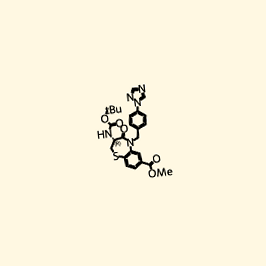 COC(=O)c1ccc2c(c1)N(Cc1ccc(-n3cncn3)cc1)C(=O)[C@@H](NC(=O)OC(C)(C)C)CS2